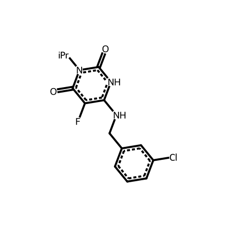 CC(C)n1c(=O)[nH]c(NCc2cccc(Cl)c2)c(F)c1=O